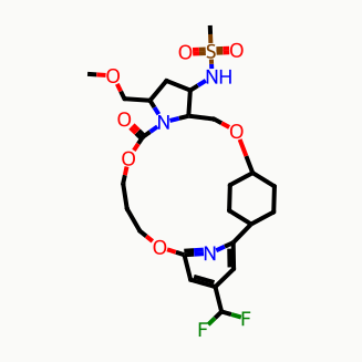 COCC1CC(NS(C)(=O)=O)C2COC3CCC(CC3)c3cc(C(F)F)cc(n3)OCCCOC(=O)N12